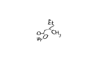 CCC=C(C)CC(=O)OC(C)C